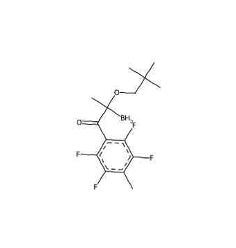 BC(C)(OCC(C)(C)C)C(=O)c1c(F)c(F)c(C)c(F)c1F